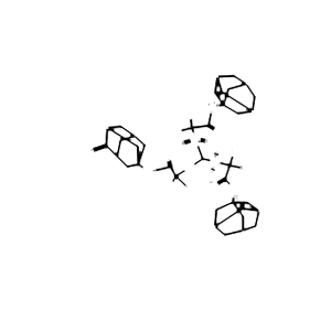 O=C1C2CC3CC1CC(OC(=O)C(F)(F)S(=O)(=O)C(S(=O)(=O)C(F)(F)C(=O)OC14CC5CC(C1)C(=O)C(C5)C4)S(=O)(=O)C(F)(F)C(=O)OC14CC5CC(C1)C(=O)C(C5)C4)(C3)C2